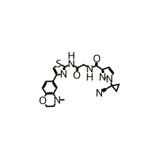 CN1CCOc2ccc(-c3csc(NC(=O)CNC(=O)c4ccn(C5(C#N)CC5)n4)n3)cc21